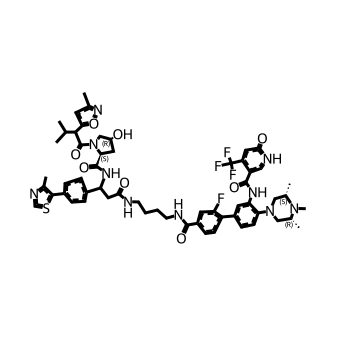 Cc1cc(C(C(=O)N2C[C@H](O)C[C@H]2C(=O)NC(CC(=O)NCCCCNC(=O)c2ccc(-c3ccc(N4C[C@@H](C)N(C)[C@@H](C)C4)c(NC(=O)c4c[nH]c(=O)cc4C(F)(F)F)c3)c(F)c2)c2ccc(-c3scnc3C)cc2)C(C)C)on1